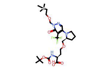 CC(C)(C)OC(=O)N[C@@H](CCOC[C@@H]1CCCN1c1cnn(COCC[Si](C)(C)C)c(=O)c1C(F)(F)F)C(=O)O